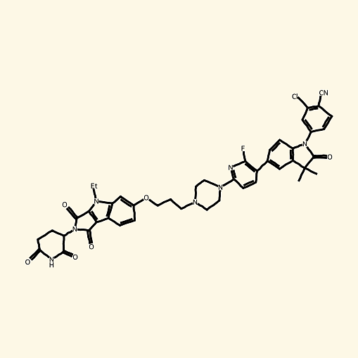 CCn1c2c(c3ccc(OCCCN4CCN(c5ccc(-c6ccc7c(c6)C(C)(C)C(=O)N7c6ccc(C#N)c(Cl)c6)c(F)n5)CC4)cc31)C(=O)N(C1CCC(=O)NC1=O)C2=O